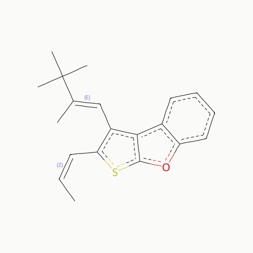 C/C=C\c1sc2oc3ccccc3c2c1/C=C(\C)C(C)(C)C